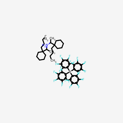 CCCCC1(C(C)[NH2+]C(C)C2(CCCC)CCCCC2)CCCCC1.Fc1c(F)c(F)c([B-](c2c(F)c(F)c(F)c(F)c2F)(c2c(F)c(F)c(F)c(F)c2F)c2c(F)c(F)c(F)c(F)c2F)c(F)c1F